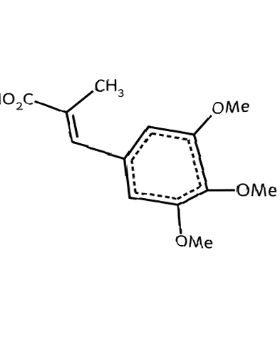 COc1cc(/C=C(\C)C(=O)O)cc(OC)c1OC